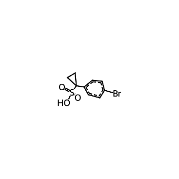 O=S(=O)(O)C1(c2ccc(Br)cc2)CC1